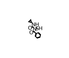 O=C(NC1CC1)N(S)C(=O)c1ccccc1